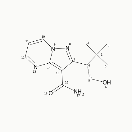 CC(C)(C)[C@H](CO)c1nn2cccnc2c1C(N)=O